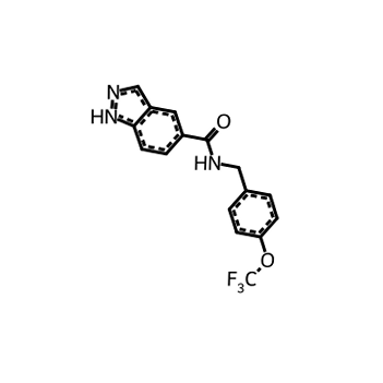 O=C(NCc1ccc(OC(F)(F)F)cc1)c1ccc2[nH]ncc2c1